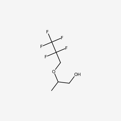 CC(CO)OCC(F)(F)C(F)(F)F